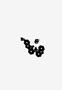 Cn1c2c(c3ccc[c]([Zr+2](=[S])[c]4cccc5c4-c4ccccc4C5)c31)Cc1cc(Br)ccc1-2.[Cl-].[Cl-]